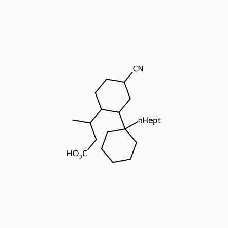 CCCCCCCC1(C2CC(C#N)CCC2C(C)CC(=O)O)CCCCC1